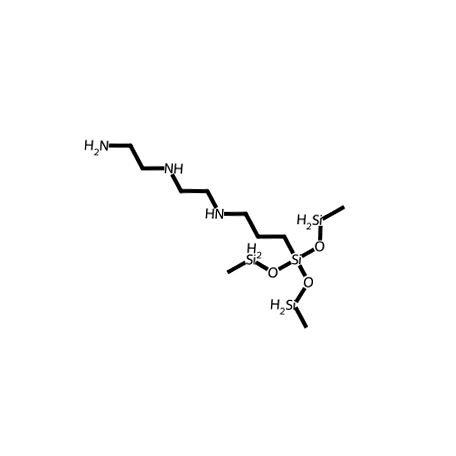 C[SiH2]O[Si](CCCNCCNCCN)(O[SiH2]C)O[SiH2]C